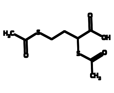 CC(=O)SCCC(SC(C)=O)C(=O)O